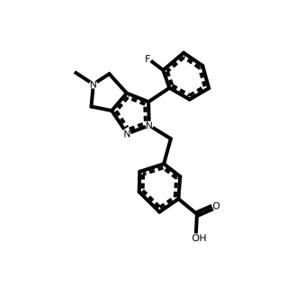 CN1Cc2nn(Cc3cccc(C(=O)O)c3)c(-c3ccccc3F)c2C1